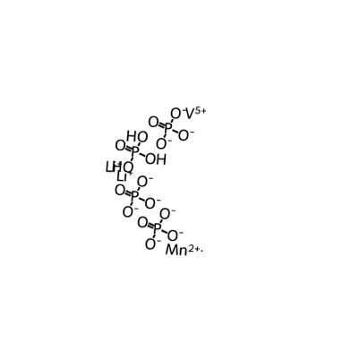 O=P(O)(O)O.O=P([O-])([O-])[O-].O=P([O-])([O-])[O-].O=P([O-])([O-])[O-].[Li+].[Li+].[Mn+2].[V+5]